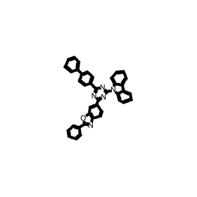 c1ccc(-c2ccc(-c3nc(-c4ccc5nc(-c6ccccc6)oc5c4)nc(-n4c5ccccc5c5ccccc54)n3)cc2)cc1